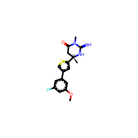 COc1cc(F)cc(-c2csc([C@]3(C)CC(=O)N(C)C(=N)N3)c2)c1